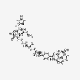 C[C@@H](NC(=O)c1ccc(NNC(=O)CCC(=O)NCCCC[C@H](NC(=O)[C@H](CC2CNC=N2)NC(=O)CN)C(=O)O)cc1)C(=O)N1CCC[C@H]1B(O)O